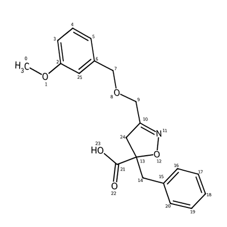 COc1cccc(COCC2=NOC(Cc3ccccc3)(C(=O)O)C2)c1